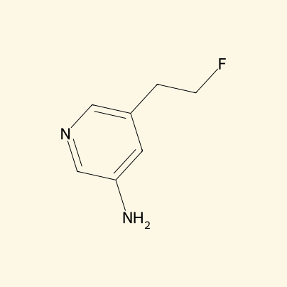 Nc1cncc(CCF)c1